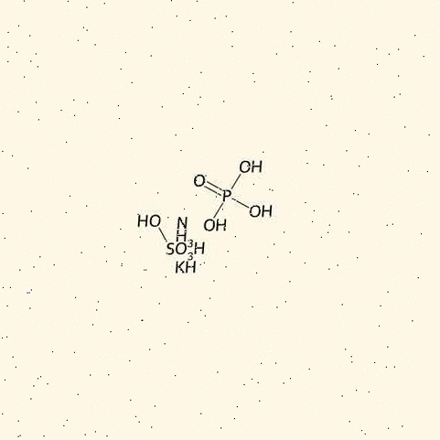 N.O=P(O)(O)O.O=S(=O)(O)O.[KH]